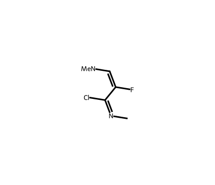 C/N=C(Cl)\C(F)=C/NC